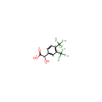 O=C(O)[C@H](O)c1ccc(C(F)(F)F)c(C(F)(F)F)c1